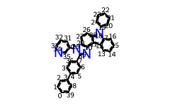 c1ccc(-c2ccc(-c3nc4c5c6ccccc6n(-c6ccccc6)c5ccc4n3-c3cccnc3)cc2)cc1